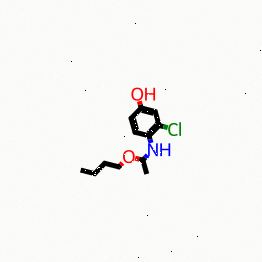 CCCCOC(C)Nc1ccc(O)cc1Cl